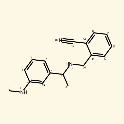 CNc1cccc(C(C)NCc2ccccc2C#N)c1